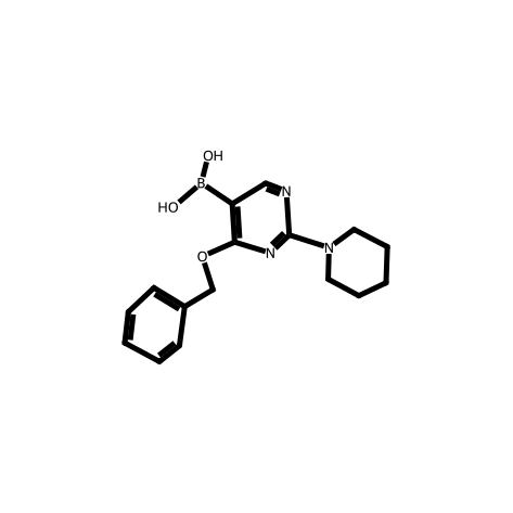 OB(O)c1cnc(N2CCCCC2)nc1OCc1ccccc1